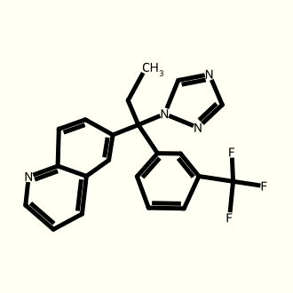 CCC(c1cccc(C(F)(F)F)c1)(c1ccc2ncccc2c1)n1cncn1